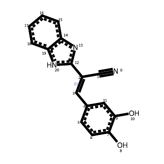 N#C/C(=C\c1ccc(O)c(O)c1)c1nc2ccccc2[nH]1